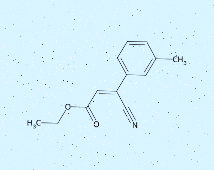 CCOC(=O)C=C(C#N)c1cccc(C)c1